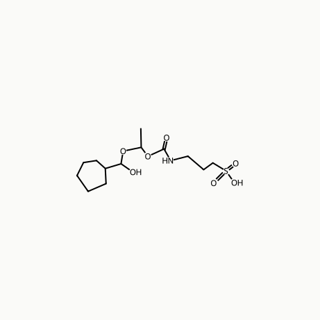 CC(OC(=O)NCCCS(=O)(=O)O)OC(O)C1CCCCC1